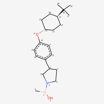 CB(O)N1CCC(c2ccc(O[C@H]3CC[C@H](C(C)(C)C)CC3)cc2)C1